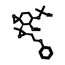 CO[C@H]1[C@H](C2(C)O[C@@H]2CCOc2ccccc2)[C@]2(CC[C@H]1O[Si](C)(C)C(C)(C)C)CO2